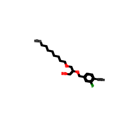 CCCCCCCCCCCCCCCCCCOCC(CO)OCc1ccc(OC)c(F)c1